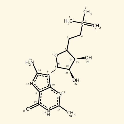 C=P(C)(C)CCC1O[C@@H](n2c(N)nc3c(=O)[nH]c(C)nc32)[C@H](O)[C@@H]1O